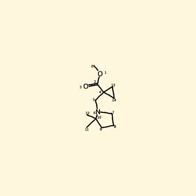 COC(=O)C1(CN2CCCC2(C)C)CC1